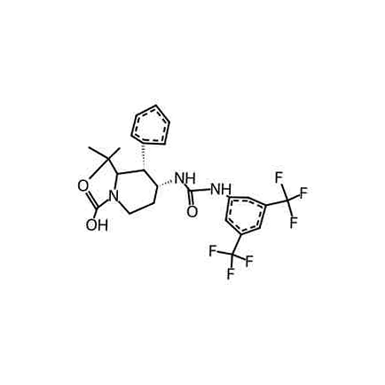 CC(C)(C)C1[C@H](c2ccccc2)[C@H](NC(=O)Nc2cc(C(F)(F)F)cc(C(F)(F)F)c2)CCN1C(=O)O